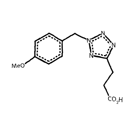 COc1ccc(Cn2nnc(CCC(=O)O)n2)cc1